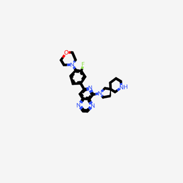 Fc1cc(-c2cc3nccnc3c(N3CC[C@]4(CCCNC4)C3)n2)ccc1N1CCOCC1